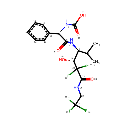 CC(C)[C@H](NC(=O)[C@@H](NC(=O)O)c1ccccc1)[C@@H](O)C(F)(F)C(=O)NCC(F)(F)F